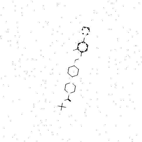 CC(C)(C)OC(=O)N1CCN([C@H]2CC[C@H](COc3ccc(-n4nccn4)cc3F)CC2)CC1